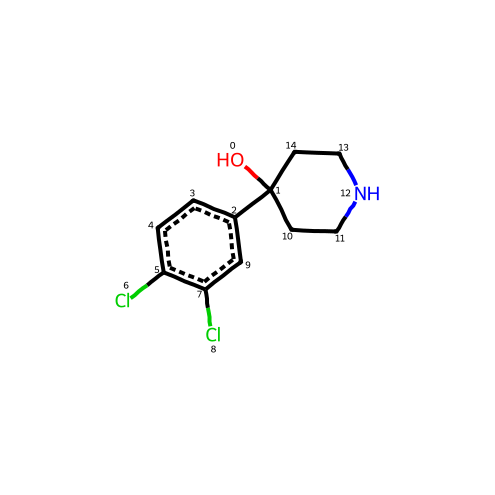 OC1(c2ccc(Cl)c(Cl)c2)CCNCC1